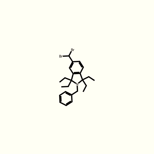 CCC1(CC)c2ccc(C(Br)Br)cc2C(CC)(CC)N1Cc1ccccc1